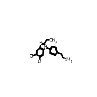 CCc1nc2cc(Cl)c(Cl)cc2n1-c1ccc(CCN)cc1